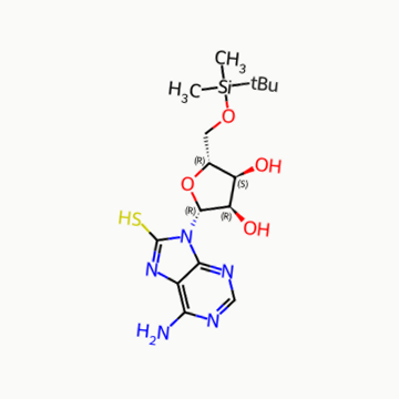 CC(C)(C)[Si](C)(C)OC[C@H]1O[C@@H](n2c(S)nc3c(N)ncnc32)[C@H](O)[C@@H]1O